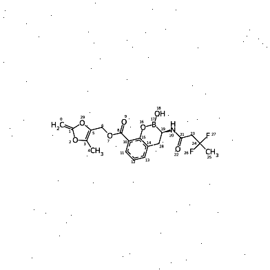 C=C1OC(C)=C(COC(=O)c2cccc3c2OB(O)[C@@H](NC(=O)CC(C)(F)F)C3)O1